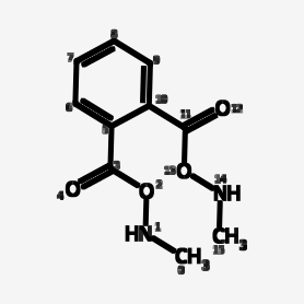 CNOC(=O)c1ccccc1C(=O)ONC